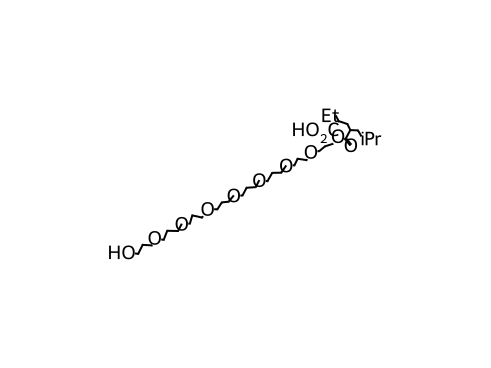 CCC(CC(CC(C)C)C(=O)OCCCOCCCOCCCOCCCOCCCOCCCOCCCOCCCO)C(=O)O